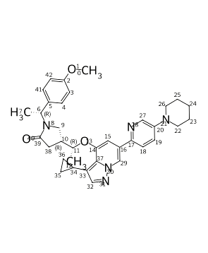 COc1ccc([C@@H](C)N2C[C@H]([C@@H](C)Oc3cc(-c4ccc(N5CCCCC5)cn4)cn4ncc(C5CC5)c34)CC2=O)cc1